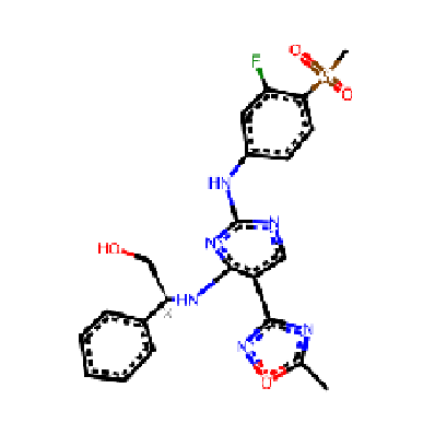 Cc1nc(-c2cnc(Nc3ccc(S(C)(=O)=O)c(F)c3)nc2N[C@H](CO)c2ccccc2)no1